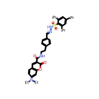 CCN(CC)c1ccc2cc(C(=O)NCCc3ccc(/C=N/NS(=O)(=O)c4c(C(C)C)cc(C(C)C)cc4C(C)C)cc3)c(=O)oc2c1